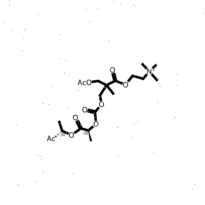 CC(=O)OCC(C)(COC(=O)O[C@@H](C)C(=O)O[C@@H](C)C(C)=O)C(=O)OCC[N+](C)(C)C